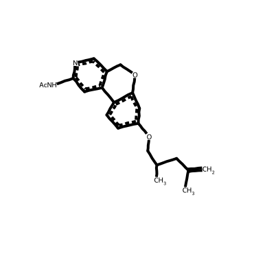 C=C(C)CC(C)COc1ccc2c(c1)OCc1cnc(NC(C)=O)cc1-2